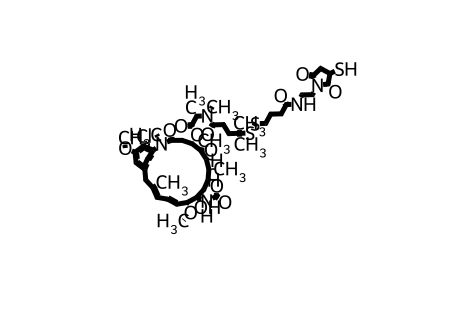 COc1cc2cc(c1Cl)N(C)C(=O)C[C@H](OC(=O)[C@H](C)N(C)C(=O)CCC(C)(C)SSCCCC(=O)NCCN1C(=O)CC(S)C1=O)[C@]1(C)O[C@H]1[C@H](C)[C@@H]1C[C@@](O)(NC(=O)O1)[C@H](OC)/C=C/C=C(\C)C2